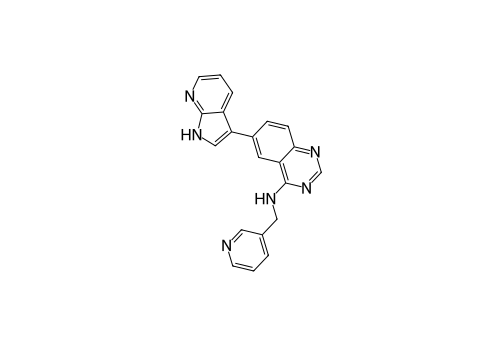 c1cncc(CNc2ncnc3ccc(-c4c[nH]c5ncccc45)cc23)c1